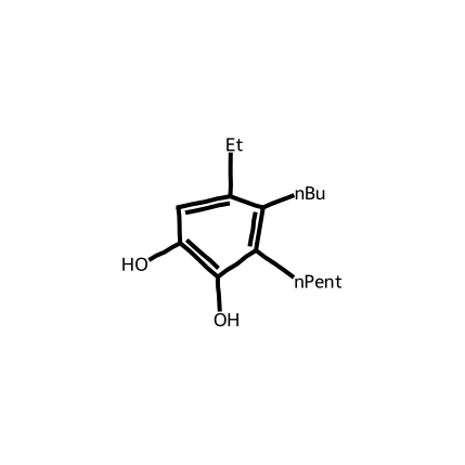 CCCCCc1c(O)c(O)cc(CC)c1CCCC